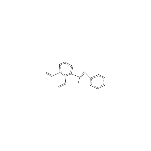 C=Cc1cccc(C(C)=Cc2ccccc2)c1C=C